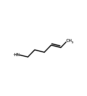 CC=CCCC[NH]